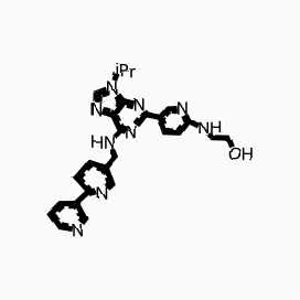 CC(C)n1cnc2c(NCc3ccc(-c4cccnc4)nc3)nc(-c3ccc(NCCO)nc3)nc21